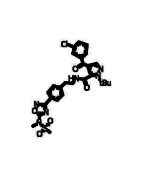 CN(c1nc(-c2ccc(CCNC(=O)c3c(C(=O)c4cccc(Cl)c4)cnn3C(C)(C)C)cc2)no1)S(C)(=O)=O